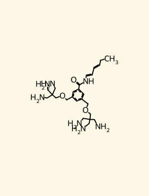 CC/C=C/C=C/NC(=O)c1cc(COCC(CN)(CN)CN)cc(COCC(CN)(CN)CN)c1